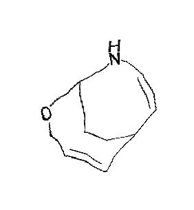 C1=CC2C=COC(C2)N1